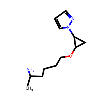 CC(N)CCCCOC1CC1n1cccn1